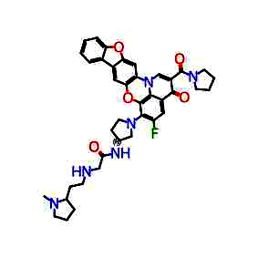 CN1CCCC1CCNCC(=O)N[C@@H]1CCN(c2c(F)cc3c(=O)c(C(=O)N4CCCC4)cn4c3c2Oc2cc3c(cc2-4)oc2ccccc23)C1